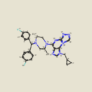 CC[C@H]1CN(C(c2ccc(F)cc2)c2ccc(F)cc2)[C@H](CC)CN1c1nc2nncn2c2c1ncn2CC1CC1